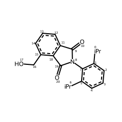 CC(C)c1cccc(C(C)C)c1N1C(=O)c2cccc(CO)c2C1=O